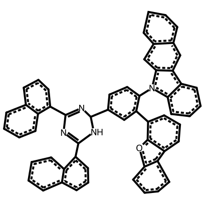 c1ccc2cc3c(cc2c1)c1ccccc1n3-c1ccc(C2N=C(c3cccc4ccccc34)N=C(c3cccc4ccccc34)N2)cc1-c1cccc2c1oc1ccccc12